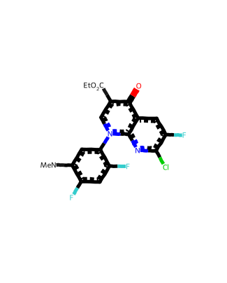 CCOC(=O)c1cn(-c2cc(NC)c(F)cc2F)c2nc(Cl)c(F)cc2c1=O